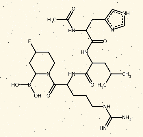 CC(=O)NC(Cc1c[nH]cn1)C(=O)NC(CC(C)C)C(=O)NC(CCCNC(=N)N)C(=O)N1CCC(F)CC1B(O)O